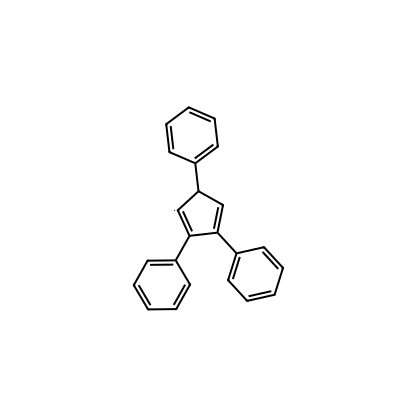 [C]1=C(c2ccccc2)C(c2ccccc2)=CC1c1ccccc1